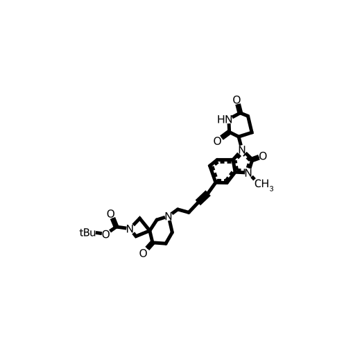 Cn1c(=O)n(C2CCC(=O)NC2=O)c2ccc(C#CCCN3CCC(=O)C4(C3)CN(C(=O)OC(C)(C)C)C4)cc21